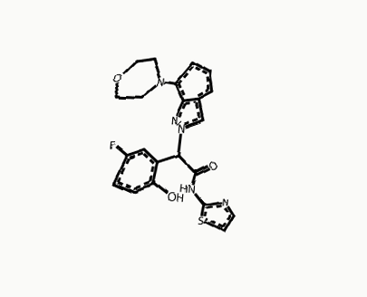 O=C(Nc1nccs1)C(c1cc(F)ccc1O)n1cc2cccc(N3CCOCC3)c2n1